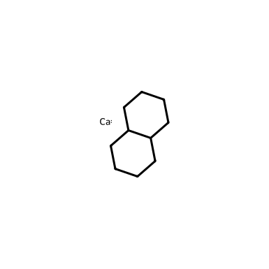 C1CCC2CCCCC2C1.[Ca]